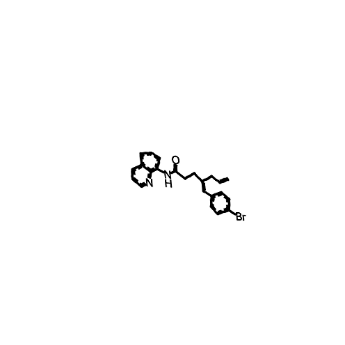 C=CCC(=Cc1ccc(Br)cc1)CCC(=O)Nc1cccc2cccnc12